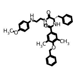 COc1ccc(NCCNC(=O)[C@H](Cc2ccccc2)NC(=O)c2cc(C)c(OCc3ccccc3)c(C)c2)cc1